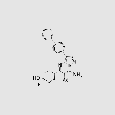 CC[C@]1(O)CC[C@H](c2nc3c(-c4ccc(-c5ccccc5)nc4)cnn3c(N)c2C(C)=O)CC1